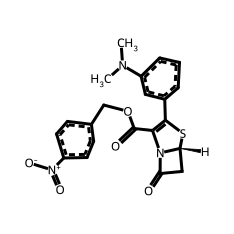 CN(C)c1cccc(C2=C(C(=O)OCc3ccc([N+](=O)[O-])cc3)N3C(=O)C[C@H]3S2)c1